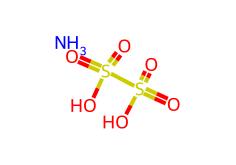 N.O=S(=O)(O)S(=O)(=O)O